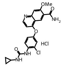 COc1cc2nccc(Oc3ccc(NC(=O)NC4CC4)c(Cl)c3)c2cc1C(N)=O.Cl